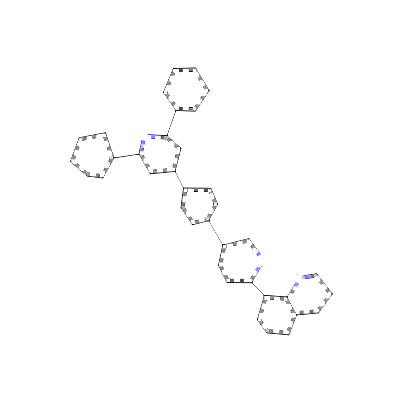 c1ccc(-c2cc(-c3ccc(-c4ccc(-c5cccc6cccnc56)nc4)cc3)cc(-c3ccccc3)n2)cc1